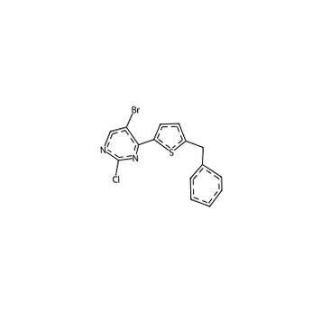 Clc1ncc(Br)c(-c2ccc(Cc3ccccc3)s2)n1